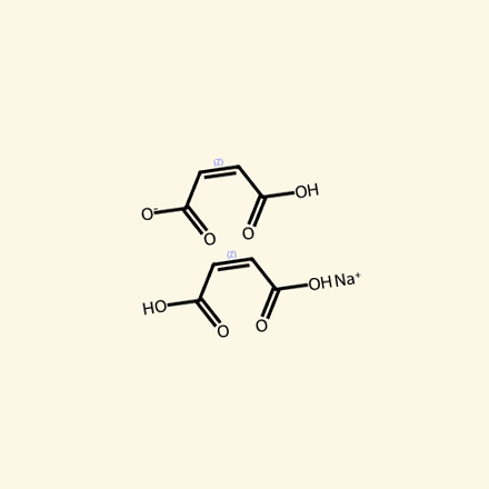 O=C(O)/C=C\C(=O)O.O=C([O-])/C=C\C(=O)O.[Na+]